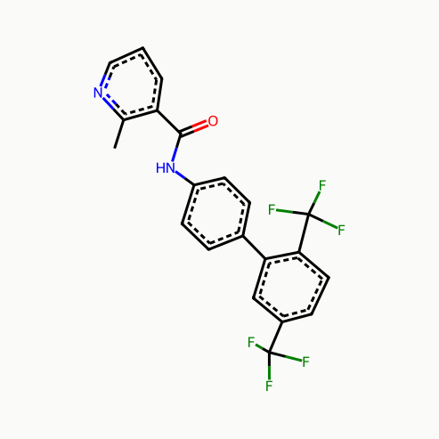 Cc1ncccc1C(=O)Nc1ccc(-c2cc(C(F)(F)F)ccc2C(F)(F)F)cc1